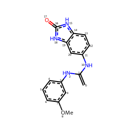 C=C(Nc1cccc(OC)c1)Nc1ccc2[nH]c(=O)[nH]c2c1